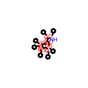 O=C(O[C@@H]1C(COCc2ccccc2)O[C@H](O[C@H]2C(COCc3ccccc3)ONC(OCc3ccccc3)C2OCc2ccccc2)C(OCc2ccccc2)C1OCc1ccccc1)c1ccccc1